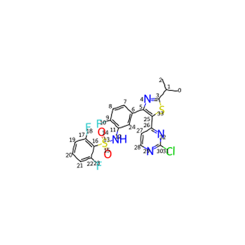 CC(C)c1nc(-c2ccc(F)c(NS(=O)(=O)c3c(F)cccc3F)c2)c(-c2ccnc(Cl)n2)s1